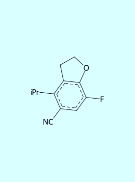 CC(C)c1c(C#N)cc(F)c2c1CCO2